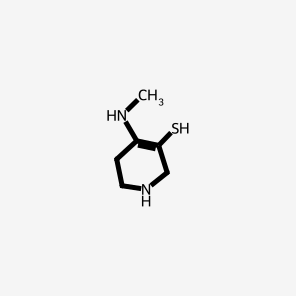 CNC1=C(S)CNCC1